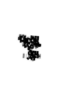 CC(C)(OCCC(=O)N1CCc2c(n(Cc3ccc(OC(F)(F)F)c(Cl)c3)c3ncccc23)C1)C(=O)O